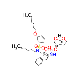 C=CCCCCOc1cccc(S(=O)(=O)N(CCCCC=C)C[C@@H](O)[C@H](Cc2ccccc2)NC(=O)O[C@H]2CO[C@H]3OCCC32)c1